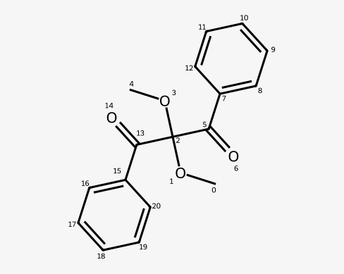 COC(OC)(C(=O)c1ccccc1)C(=O)c1ccccc1